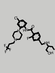 CCC(CO)NCc1ccc(C(=O)Nc2ccc(Cl)cc2N2CCN(CCC(F)(F)F)CC2)c(F)c1